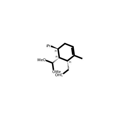 COC(OC)[C@@H]1[C@@H](C(C)C)CC=C(C)[C@@H]1CC=O